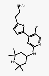 CC(=O)NCCc1ccc(-c2nc(NC3CC(C)(C)NC(C)(C)C3)ncc2Br)s1